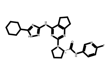 O=C(Nc1ccc(F)nc1)[C@@H]1CCCN1c1nc2c(c(Nc3n[nH]c(C4CCCCC4)n3)n1)CCC2